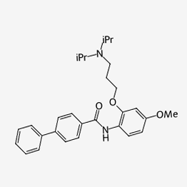 COc1ccc(NC(=O)c2ccc(-c3ccccc3)cc2)c(OCCCN(C(C)C)C(C)C)c1